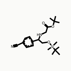 CC(C)(C)OC(=O)CNC(CO[Si](C)(C)C(C)(C)C)c1ccc(C#N)cc1